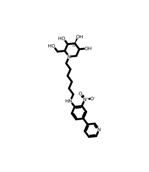 O=[N+]([O-])c1cc(-c2cccnc2)ccc1NCCCCCCN1CC(O)[C@H](O)C(O)C1CO